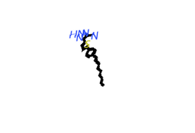 CCCCCCCCCc1ccc(-c2ccc(-c3n[nH]nc3C#N)s2)cc1